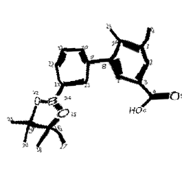 Cc1cc(C(=O)O)cc(-c2cccc(B3OC(C)(C)C(C)(C)O3)c2)c1C